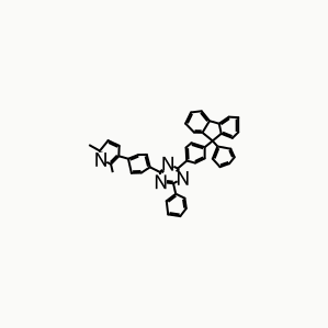 Cc1ccc(-c2ccc(-c3nc(-c4ccccc4)nc(-c4ccc(C5(c6ccccc6)c6ccccc6-c6ccccc65)cc4)n3)cc2)c(C)n1